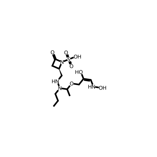 CCCN(NC[C@H]1CC(=O)N1S(=O)(=O)O)C(C)OC/C(O)=C\NO